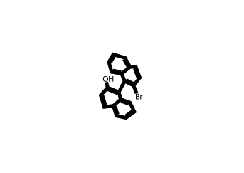 Oc1ccc2ccccc2c1-c1c(Br)ccc2ccccc12